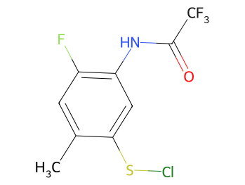 Cc1cc(F)c(NC(=O)C(F)(F)F)cc1SCl